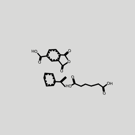 C=C(C)c1ccccc1.O=C(O)CCCCC(=O)O.O=C(O)c1ccc2c(c1)C(=O)OC2=O